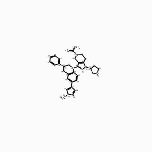 CC(=O)N1CCc2c(c(N3C[C@H](c4ccccc4)Cc4cc(-c5cnn(C)c5)ccc43)nn2[C@H]2CCOC2)C1